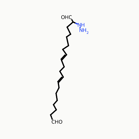 NNC(C=O)CCCCCC=CCCC=CCCCCCCC=O